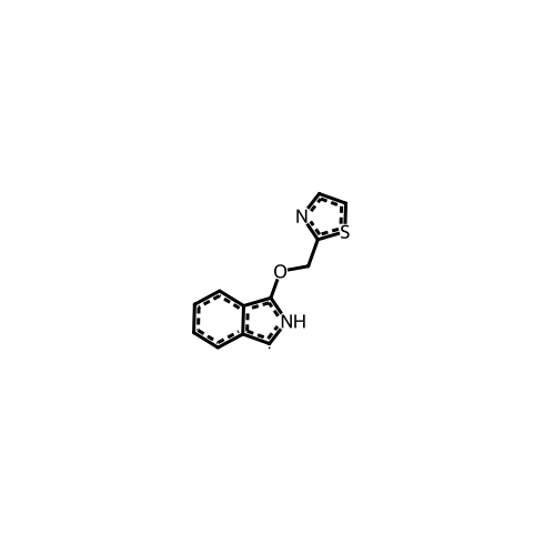 [c]1[nH]c(OCc2nccs2)c2ccccc12